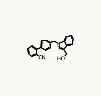 N#Cc1ccccc1-c1ccc(Cn2cc(CO)c3ccccc32)cc1